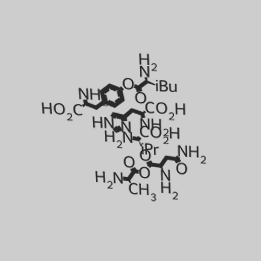 CC(C)[C@H](N)C(=O)O.CC[C@H](C)[C@H](N)C(=O)Oc1ccc(C[C@H](N)C(=O)O)cc1.C[C@H](N)C(=O)OC(=O)[C@@H](N)CC(N)=O.N[C@@H](Cc1c[nH]cn1)C(=O)O